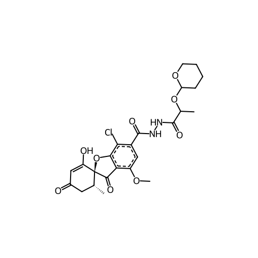 COc1cc(C(=O)NNC(=O)C(C)OC2CCCCO2)c(Cl)c2c1C(=O)[C@@]1(O2)C(O)=CC(=O)C[C@H]1C